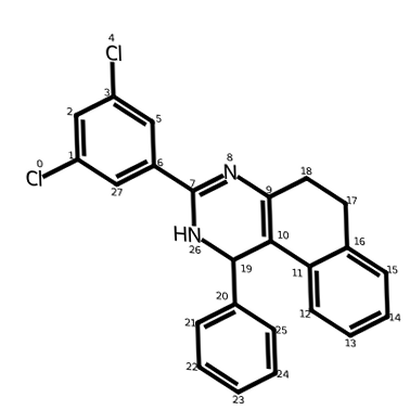 Clc1cc(Cl)cc(C2=NC3=C(c4ccccc4CC3)C(c3ccccc3)N2)c1